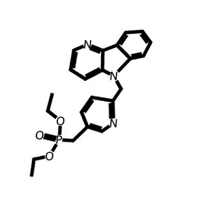 CCOP(=O)(Cc1ccc(Cn2c3ccccc3c3ncccc32)nc1)OCC